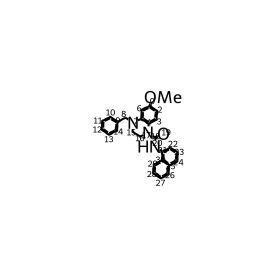 COc1ccc2c(c1)N(Cc1ccccc1)CCN2C(=O)Nc1cccc2ccccc12